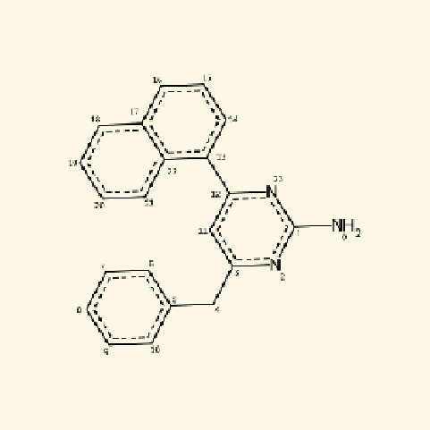 Nc1nc(Cc2ccccc2)cc(-c2cccc3ccccc23)n1